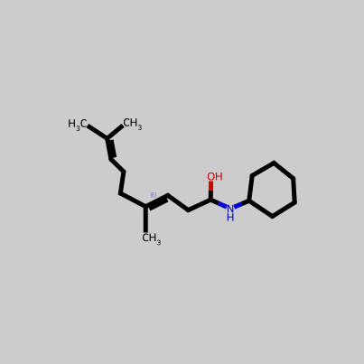 CC(C)=CCC/C(C)=C/CC(O)NC1CCCCC1